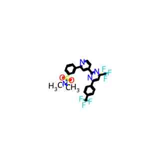 CN(C)S(=O)(=O)c1cccc(-c2cc(-c3nc(-c4ccc(C(F)(F)F)cc4)cc(C(F)(F)F)n3)ccn2)c1